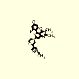 CCn1cc(C2CN(c3cc4nc(C)n(C)c(=O)c4c(-c4ccc(Cl)cc4F)n3)CCO2)cn1